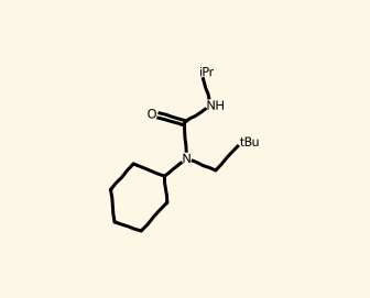 CC(C)NC(=O)N(CC(C)(C)C)C1CCCCC1